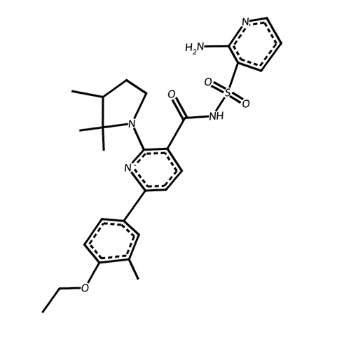 CCOc1ccc(-c2ccc(C(=O)NS(=O)(=O)c3cccnc3N)c(N3CCC(C)C3(C)C)n2)cc1C